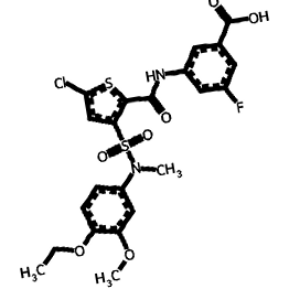 CCOc1ccc(N(C)S(=O)(=O)c2cc(Cl)sc2C(=O)Nc2cc(F)cc(C(=O)O)c2)cc1OC